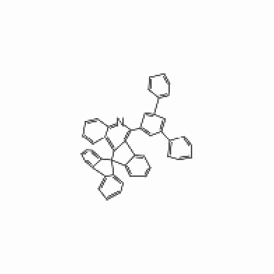 c1ccc(-c2cc(-c3ccccc3)cc(-c3nc4ccccc4c4c3-c3ccccc3C43c4ccccc4-c4ccccc43)c2)cc1